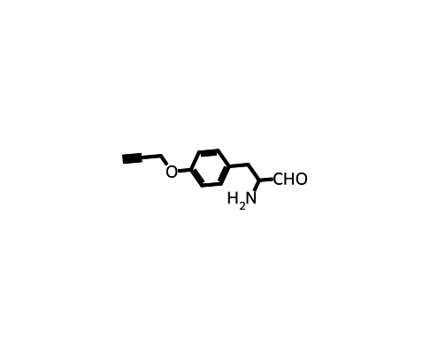 C#CCOc1ccc(CC(N)C=O)cc1